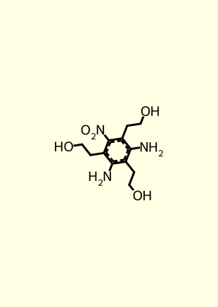 Nc1c(CCO)c(N)c(CCO)c([N+](=O)[O-])c1CCO